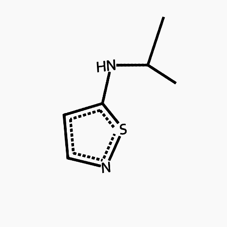 CC(C)Nc1ccns1